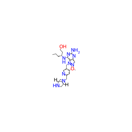 CCC[C@@H](CCO)Nc1nc(N)nc2cnn(Cc3cnc(CN4C[C@@H]5C[C@H]4CN5)cc3OC)c12